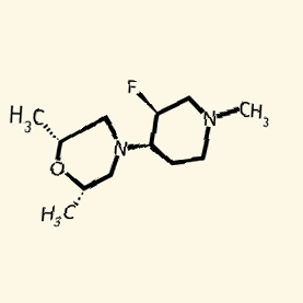 C[C@@H]1CN([C@@H]2CCN(C)C[C@@H]2F)C[C@H](C)O1